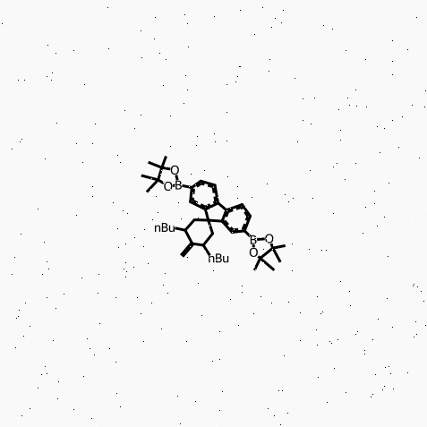 C=C1C(CCCC)CC2(CC1CCCC)c1cc(B3OC(C)(C)C(C)(C)O3)ccc1-c1ccc(B3OC(C)(C)C(C)(C)O3)cc12